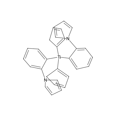 C1=CC[C]([Ti]([C]2=CC=CC2)([c]2ccccc2-n2cccc2)[c]2ccccc2-n2cccc2)=C1